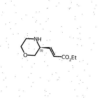 CCOC(=O)C=C[C@H]1COCCN1